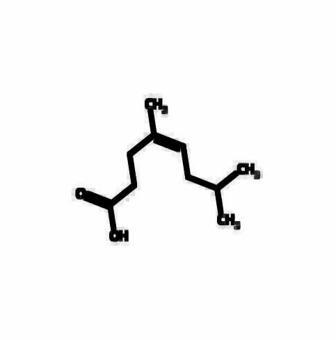 CC(=CCC(C)C)CCC(=O)O